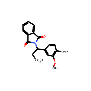 CCCCOc1cc(C(CC(=O)O)N2C(=O)c3ccccc3C2=O)ccc1OC